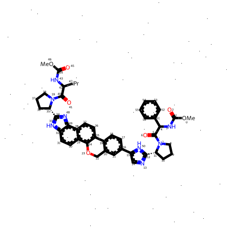 COC(=O)NC(C(=O)N1CCC[C@@H]1c1ncc(-c2ccc3c(c2)COc2c-3ccc3c2ccc2[nH]c([C@@H]4CCCN4C(=O)C(NC(=O)OC)C(C)C)nc23)[nH]1)c1ccccc1